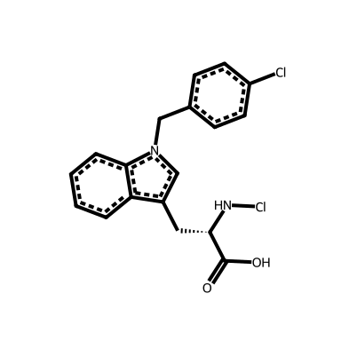 O=C(O)[C@H](Cc1cn(Cc2ccc(Cl)cc2)c2ccccc12)NCl